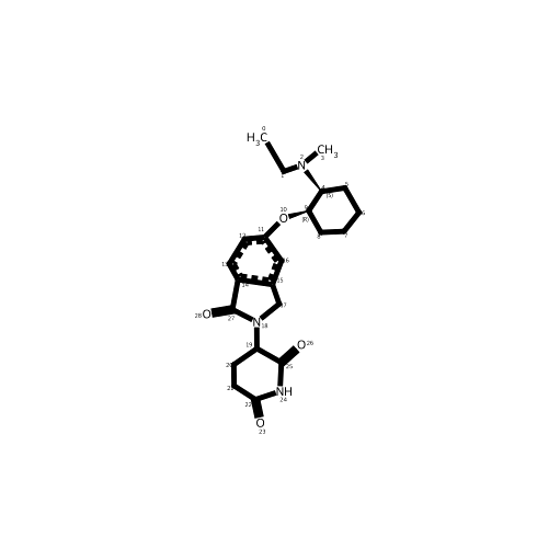 CCN(C)[C@H]1CCCC[C@H]1Oc1ccc2c(c1)CN(C1CCC(=O)NC1=O)C2=O